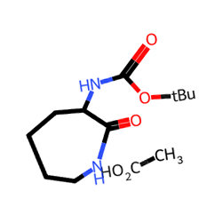 CC(=O)O.CC(C)(C)OC(=O)NC1CCCCNC1=O